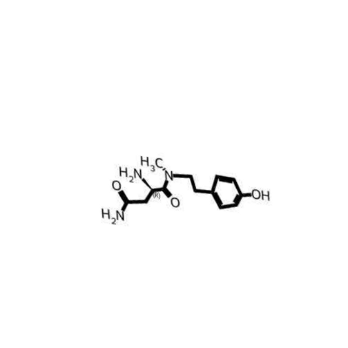 CN(CCc1ccc(O)cc1)C(=O)[C@H](N)CC(N)=O